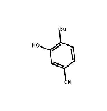 CC(C)(C)c1ccc(C#N)cc1O